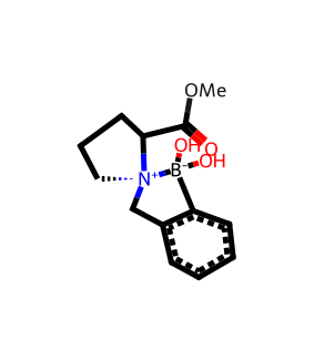 COC(=O)C1CCC[N@+]12Cc1ccccc1[B-]2(O)O